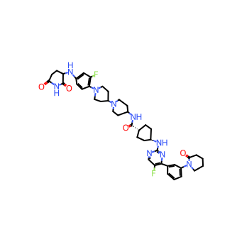 O=C1CCC(Nc2ccc(N3CCC(N4CCC(NC(=O)[C@H]5CC[C@H](Nc6ncc(F)c(-c7cccc(N8CCCCC8=O)c7)n6)CC5)CC4)CC3)c(F)c2)C(=O)N1